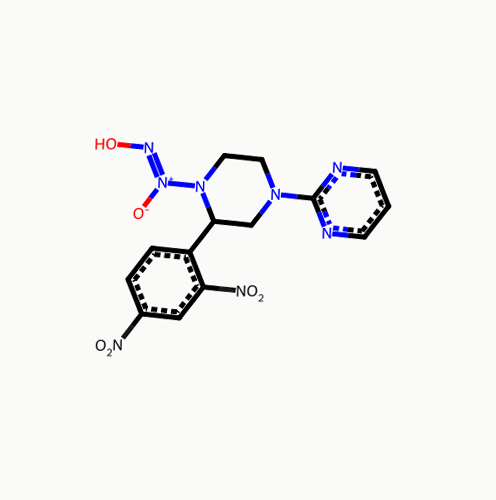 O=[N+]([O-])c1ccc(C2CN(c3ncccn3)CCN2[N+]([O-])=NO)c([N+](=O)[O-])c1